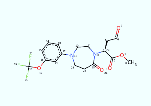 COC(=O)[C@H](CC=O)N1CCN(c2cccc(OC(F)(F)F)c2)CCC1=O